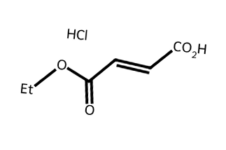 CCOC(=O)/C=C/C(=O)O.Cl